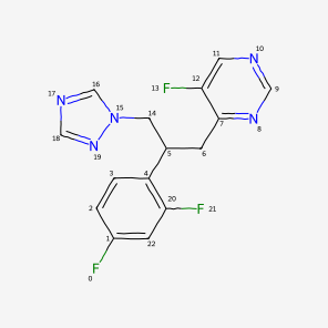 Fc1ccc(C(Cc2ncncc2F)Cn2cncn2)c(F)c1